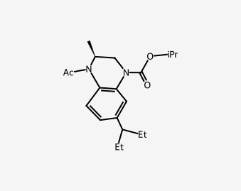 CCC(CC)c1ccc2c(c1)N(C(=O)OC(C)C)C[C@H](C)N2C(C)=O